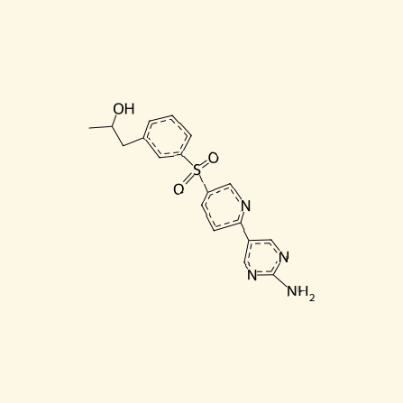 CC(O)Cc1cccc(S(=O)(=O)c2ccc(-c3cnc(N)nc3)nc2)c1